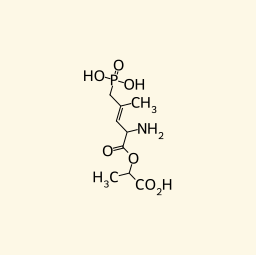 C/C(=C\C(N)C(=O)OC(C)C(=O)O)CP(=O)(O)O